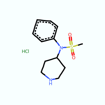 CS(=O)(=O)N(c1ccccc1)C1CCNCC1.Cl